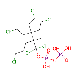 CC(CCCCl)(C(CCCl)(CCCl)CCCl)C(Cl)(Cl)OP(=O)(O)OP(=O)(O)O